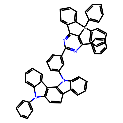 c1ccc(-c2nc(-c3cccc(-n4c5ccccc5c5ccc6c(c7ccccc7n6-c6ccccc6)c54)c3)nc3c2[Si](c2ccccc2)(c2ccccc2)c2ccccc2-3)cc1